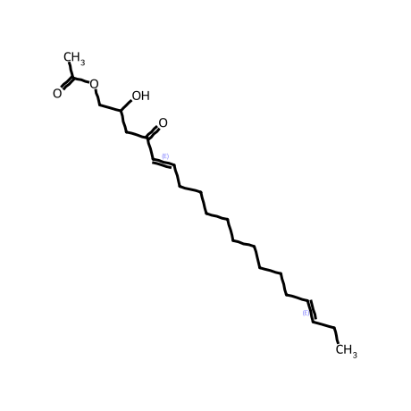 CC/C=C/CCCCCCCCC/C=C/C(=O)CC(O)COC(C)=O